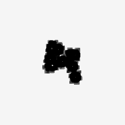 CC1(C)CCC(C)(C)c2c(N(c3ccc4c(c3)C3(c5ccc(-c6ccccc6)cc5-4)C4CC5CC6CC3C64C5)c3cccc4c3C(C)(C)CCC4(C)C)cccc21